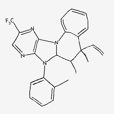 C=CC1(C)c2ccccc2N2c3nc(C(F)(F)F)cnc3N(c3ccccc3C)C2C1C